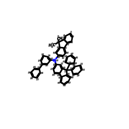 CC1(C)c2ccccc2-c2ccc(N(c3cccc(-c4ccccc4)c3)c3ccc4c(c3)C(c3ccccc3)(c3ccccc3)c3ccccc3-4)cc21